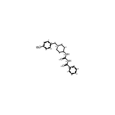 CC(C)(C)c1ccc(CN2CCC(NC(=O)NC(=O)c3ccccc3)CC2)cc1